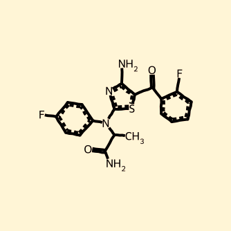 CC(C(N)=O)N(c1ccc(F)cc1)c1nc(N)c(C(=O)c2ccccc2F)s1